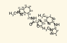 Cc1cnc(Nc2ccnn2C)nc1-c1coc(C(=O)NCc2cccc3cn(C)nc23)n1